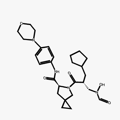 O=CN(O)C[C@@H](CC1CCCC1)C(=O)N1CC2(CC2)C[C@H]1C(=O)Nc1ccc(N2CCOCC2)cc1